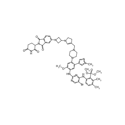 COc1cc(N2CCN(CC3=CN(C4CN(c5ccc6c(c5)C(=O)N(C5CCC(=O)NC5=O)C6=O)C4)CC3)CC2)c(-c2cnn(C)c2)cc1Nc1ncc(Br)c(Nc2ccc(C)c(C)c2P(=O)(OC)OC)n1